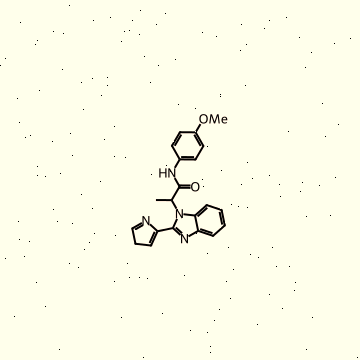 COc1ccc(NC(=O)C(C)n2c(C3=CCC=N3)nc3ccccc32)cc1